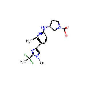 Cc1nc(N[C@H]2CCN(C(=O)O)C2)ccc1-c1cn(C)c(C(C)(F)F)n1